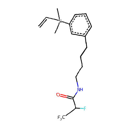 C=C[Si](C)(C)c1cccc(CCCCNC(=O)C(F)C(F)(F)F)c1